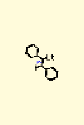 CC/C(=C(/I)c1ccccc1)c1ccccc1